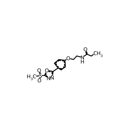 CCC(=O)NCCOc1ccc(-c2nnc(S(C)(=O)=O)o2)cc1